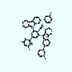 Cc1cccc(-c2ccc3c4ccccc4n(-c4cc(-c5nc(C)cc(C)n5)cc(-n5c6ccccc6c6ccc(-c7cccc(C)c7)cc65)c4C#N)c3c2)c1